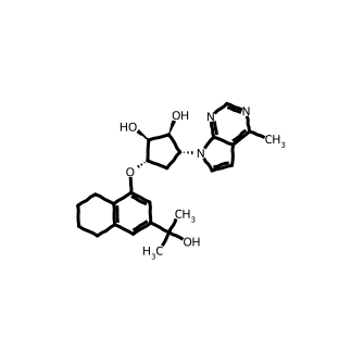 Cc1ncnc2c1ccn2[C@@H]1C[C@H](Oc2cc(C(C)(C)O)cc3c2CCCC3)[C@@H](O)[C@H]1O